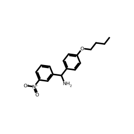 CCCCOc1ccc(C(N)c2cccc([N+](=O)[O-])c2)cc1